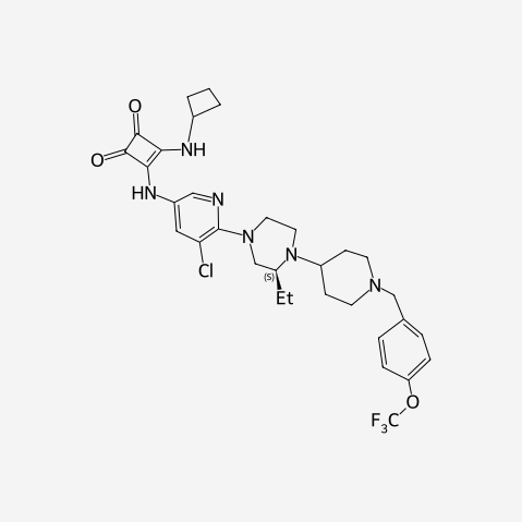 CC[C@H]1CN(c2ncc(Nc3c(NC4CCC4)c(=O)c3=O)cc2Cl)CCN1C1CCN(Cc2ccc(OC(F)(F)F)cc2)CC1